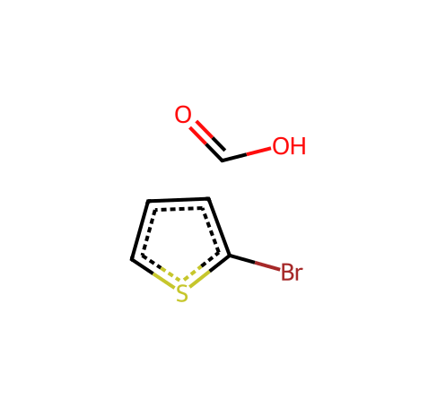 Brc1cccs1.O=CO